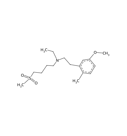 CCN(CCCCS(C)(=O)=O)CCc1cc(OC)ccc1C